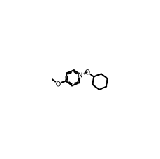 COc1cc[n+](OC2CCCCC2)cc1